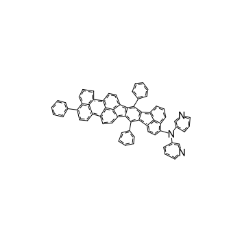 c1ccc(-c2ccc3c4ccc5c6c(-c7ccccc7)c7c8ccc(N(c9cccnc9)c9cccnc9)c9cccc(c7c(-c7ccccc7)c6c6ccc(c7cccc2c73)c4c65)c98)cc1